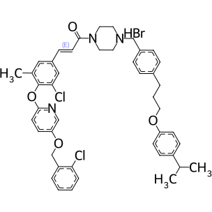 Br.Cc1cc(/C=C/C(=O)N2CCN(Cc3ccc(CCCOc4ccc(C(C)C)cc4)cc3)CC2)cc(Cl)c1Oc1ccc(OCc2ccccc2Cl)cn1